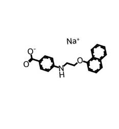 O=C([O-])c1ccc(NCCOc2cccc3ccccc23)cc1.[Na+]